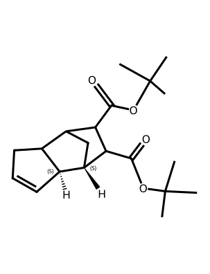 CC(C)(C)OC(=O)C1C2C[C@H](C1C(=O)OC(C)(C)C)[C@H]1C=CCC21